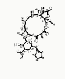 CC[C@H]1OC(=O)C(C)C(=O)[C@H](C)[C@@H](OC2OC(CN3CCCC3)CC(N(C)C)C2O)[C@](C)(OC)C[C@@H](C)CN[C@H](C)[C@H]2NC(=O)O[C@@]21C